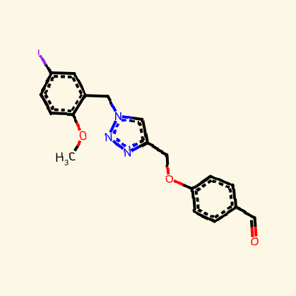 COc1ccc(I)cc1Cn1cc(COc2ccc(C=O)cc2)nn1